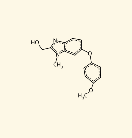 COc1ccc(Oc2ccc3nc(CO)n(C)c3c2)cc1